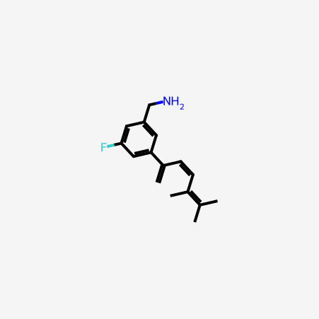 C=C(/C=C\C(C)=C(C)C)c1cc(F)cc(CN)c1